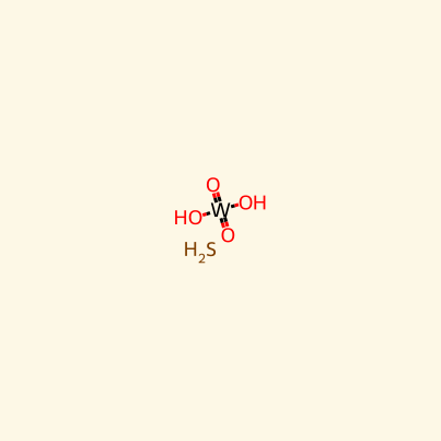 S.[O]=[W](=[O])([OH])[OH]